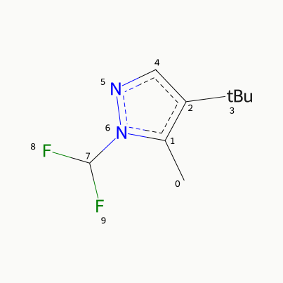 Cc1c(C(C)(C)C)cnn1C(F)F